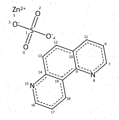 O=S(=O)([O-])[O-].[Zn+2].c1cnc2c(c1)ccc1ncccc12